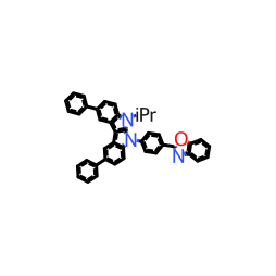 CC(C)n1c2ccc(-c3ccccc3)cc2c2c3cc(-c4ccccc4)ccc3n(-c3ccc(-c4nc5ccccc5o4)cc3)c21